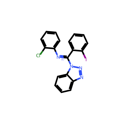 Clc1ccccc1/N=C(\c1ccccc1I)n1nnc2ccccc21